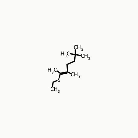 CCS/C(C)=C(\C)CCC(C)(C)C